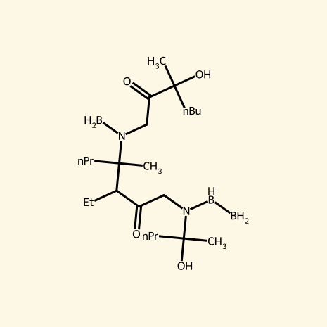 BBN(CC(=O)C(CC)C(C)(CCC)N(B)CC(=O)C(C)(O)CCCC)C(C)(O)CCC